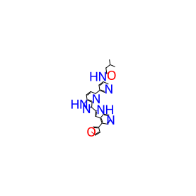 CC(C)CC(=O)Nc1cncc(-c2ccc3[nH]nc(-c4cc5c(-c6ccoc6)cncc5[nH]4)c3n2)c1